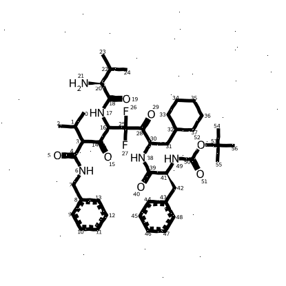 CC(C)C(C(=O)NCc1ccccc1)C(=O)C(NC(=O)[C@@H](N)C(C)C)C(F)(F)C(=O)C(CC1CCCCC1)NC(=O)[C@H](Cc1ccccc1)NC(=O)OC(C)(C)C